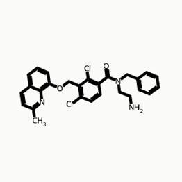 Cc1ccc2cccc(OCc3c(Cl)ccc(C(=O)N(CCN)Cc4ccccc4)c3Cl)c2n1